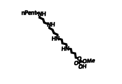 CCCCCNCCCNCCCCNCCCNCCCCOP(=O)(O)OC